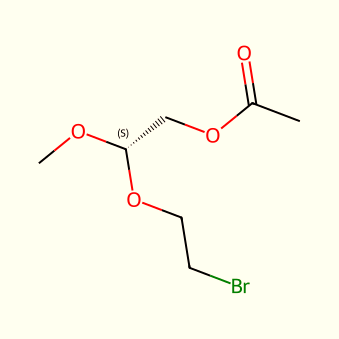 CO[C@H](COC(C)=O)OCCBr